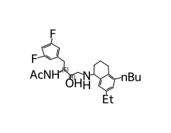 CCCCc1cc(CC)cc2c1CCCC2NC[C@@H](O)[C@H](Cc1cc(F)cc(F)c1)NC(C)=O